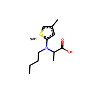 CCCCN(c1cc(C)cs1)C(C)C(=O)O.[NaH]